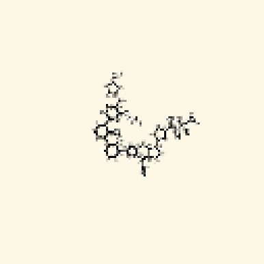 COc1nc(-c2cccc(-c3cccc(-c4cc5c(o4)C(C#N)=C4CC[C@@H](N6CC[C@@H](C(=O)NS(=O)(=O)C7CC7)C6)C4C5)c3Cl)c2Cl)cnc1CN1CC[C@@H](O)C1